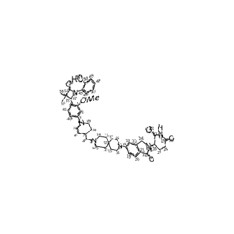 COc1cc(N2CCC(CN3CCC4(CC3)CCN(c3ccc5c(c3)CN(C3CCC(=O)NC3=O)C5=O)CC4)CC2)ccc1[C@@H]1N(c2ccccc2O)C(=O)C1(C)C